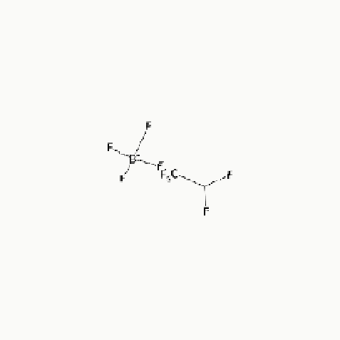 FC(F)C(F)(F)F.F[B-](F)(F)F